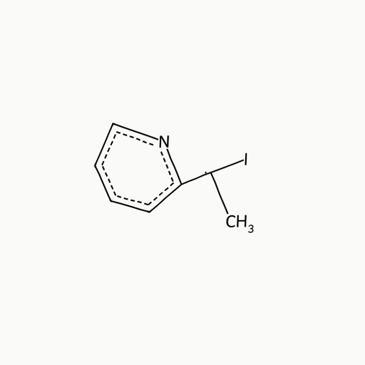 C[C](I)c1ccccn1